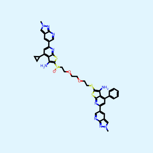 Cn1cc2cc(-c3cc(-c4ccccc4)c4c(N)c(SCCOCCOCC[S+]([O-])c5sc6nc(-c7cnc8nn(C)cc8c7)cc(C7CC7)c6c5N)sc4n3)cnc2n1